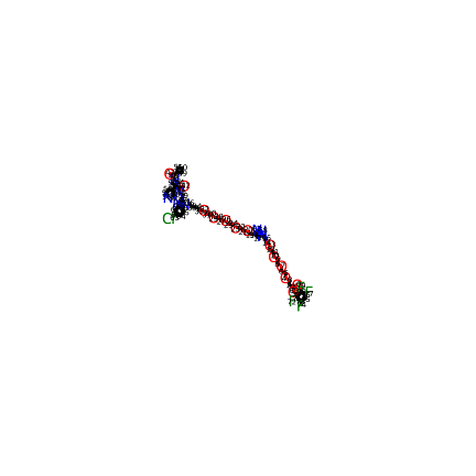 O=C(CCOCCOCCOCCOCCn1cc(COCCOCCOCCOCCOCCCCn2c(CN3C(=O)C4(CN(C(=O)C5CCC5)C4)c4ccncc43)nc3cc(Cl)ccc32)nn1)Oc1c(F)c(F)cc(F)c1F